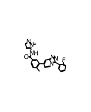 Cc1ccc(C(=O)Nc2ccnn2C)cc1-c1ccn2c(-c3ccccc3F)nnc2c1